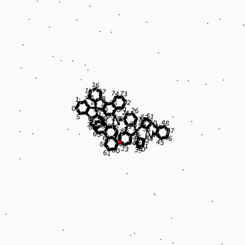 c1ccc2c(c1)-c1ccccc1C21c2ccccc2-c2c1cc(N(c1cccc3c1-c1ccccc1C31c3ccccc3-n3c4ccccc4c4cccc1c43)c1cc3ccccc3c3ccccc13)c1ccccc21